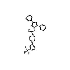 O=C(Cn1nc(-c2ccccc2)cc1-c1ccccc1)N1CCN(c2cc(C(F)(F)F)ccn2)CC1